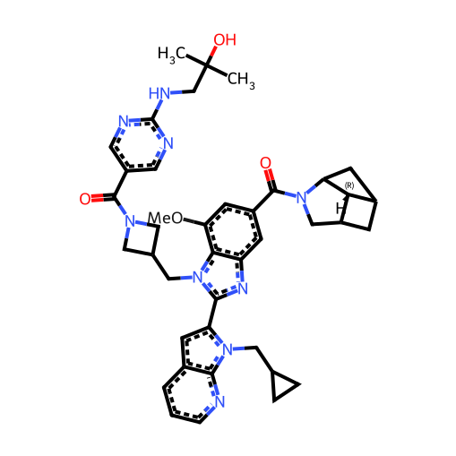 COc1cc(C(=O)N2CC3CC4CC2[C@H]43)cc2nc(-c3cc4cccnc4n3CC3CC3)n(CC3CN(C(=O)c4cnc(NCC(C)(C)O)nc4)C3)c12